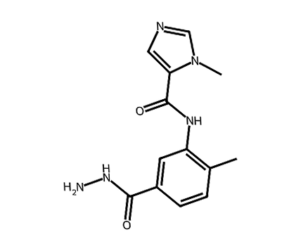 Cc1ccc(C(=O)NN)cc1NC(=O)c1cncn1C